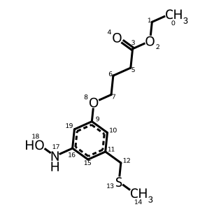 CCOC(=O)CCCOc1cc(CSC)cc(NO)c1